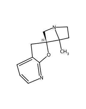 CC12CCN1C[C@@]21Cc2cccnc2O1